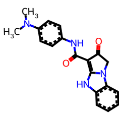 CN(C)c1ccc(NC(=O)C2=C3Nc4ccccc4N3CC2=O)cc1